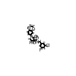 O=C(NCc1cc(F)cc(Cl)c1)[C@@]1(O)CCN(c2ccc3c(c2)OCCO3)C1=O